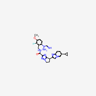 COc1ccc(N(N)C=N)c(CNC(=O)c2nc3n(n2)CCC3c2cn3cc(C4CC4)ccc3n2)c1F